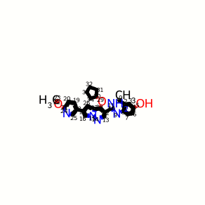 CCc1cc(O)ccc1/N=C(\N)c1cnn2cc(-c3ccc(OC)nc3)cc2c1OC1CCCC1